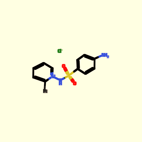 CCc1cccc[n+]1NS(=O)(=O)c1ccc(N)cc1.[Cl-]